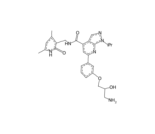 Cc1cc(C)c(CNC(=O)c2cc(-c3cccc(OCC(O)CN)c3)nc3c2cnn3C(C)C)c(=O)[nH]1